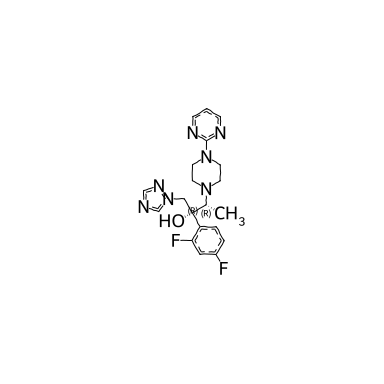 C[C@@H](N1CCN(c2ncccn2)CC1)[C@](O)(Cn1cncn1)c1ccc(F)cc1F